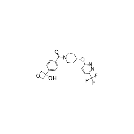 O=C(c1ccc(C2(O)COC2)cc1)N1CCC(Oc2ccc(C(F)(F)F)nn2)CC1